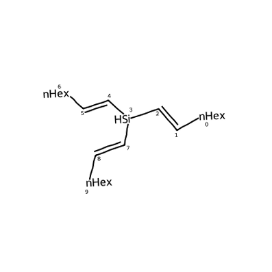 CCCCCCC=C[SiH](C=CCCCCCC)C=CCCCCCC